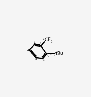 CC(C)(C)c1ccccc1C(F)(F)F